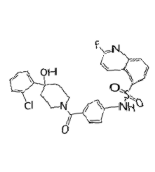 O=C(c1ccc(NS(=O)(=O)c2cccc3nc(F)ccc23)cc1)N1CCC(O)(c2ccccc2Cl)CC1